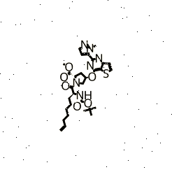 C=CCCCCC[C@H](NC(=O)OC(C)(C)C)C(=O)N1C[C@H](Oc2nc(-c3ccnn3C)nc3ccsc23)C[C@H]1C(=O)OC